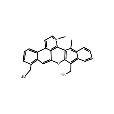 Cc1c2c(c(CC(C)(C)C)c3cnccc13)Oc1cc3c(CC(C)(C)C)cccc3c3cc[n+](C)c-2c13